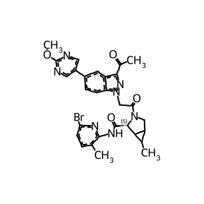 COc1ncc(-c2ccc3c(c2)c(C(C)=O)nn3CC(=O)N2CC3C(C)C3[C@H]2C(=O)Nc2nc(Br)ccc2C)cn1